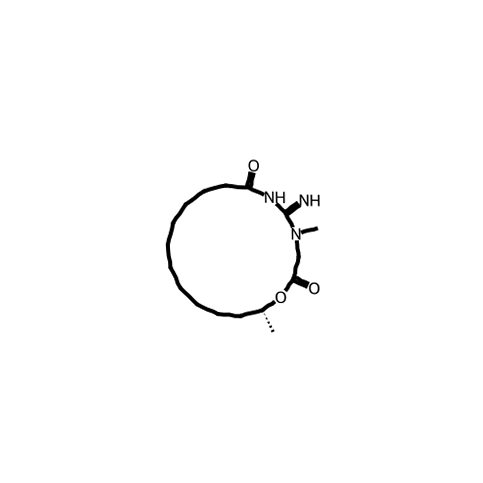 C[C@@H]1CCCCCCCCCCC(=O)NC(=N)N(C)CC(=O)O1